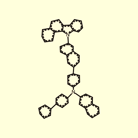 c1ccc(-c2ccc(N(c3ccc(-c4ccc5cc(-n6c7ccccc7c7ccc8ccccc8c76)ccc5c4)cc3)c3ccc4ccccc4c3)cc2)cc1